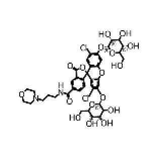 O=C(NCCCN1CCOCC1)c1ccc2c(c1)C(=O)OC21c2cc(Cl)c(O[C@@H]3OC(CO)[C@H](O)[C@H](O)C3O)cc2Oc2cc(O[C@H]3OC(CO)[C@@H](O)C(O)[C@H]3O)c(Cl)cc21